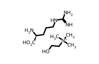 C[N+](C)(C)CCO.N=C(N)NCCC[C@H](N)C(=O)O